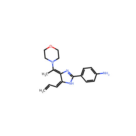 C=C/C=c1/[nH]c(-c2ccc(N)cc2)n/c1=C(/C)N1CCOCC1